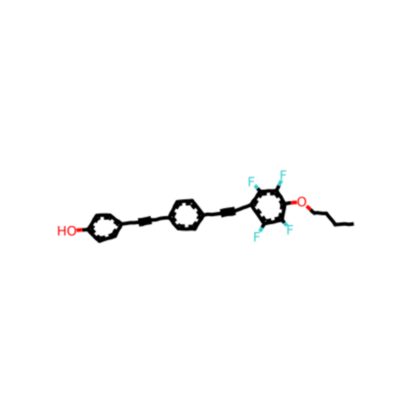 CCCCOc1c(F)c(F)c(C#Cc2ccc(C#Cc3ccc(O)cc3)cc2)c(F)c1F